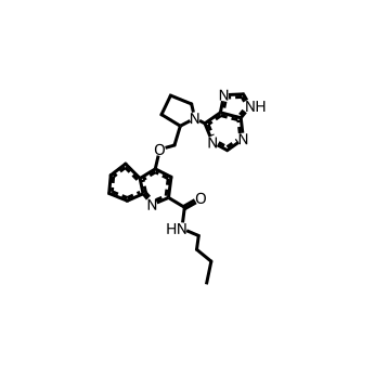 CCCCNC(=O)c1cc(OCC2CCCN2c2ncnc3[nH]cnc23)c2ccccc2n1